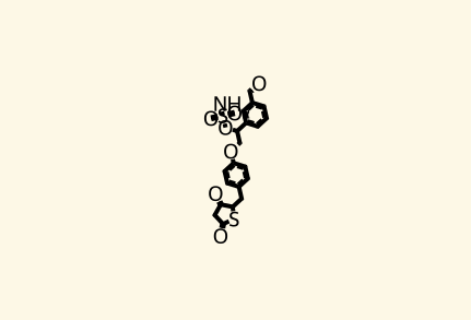 NS(=O)(=O)OC(COc1ccc(CC2SC(=O)CC2=O)cc1)c1cccc(C=O)c1